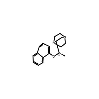 C[C@@H](Oc1cccc2ccccc12)C1CN2CCN1CC2